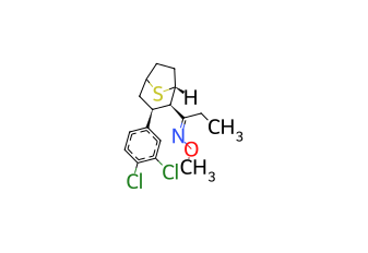 CCC(=NOC)[C@H]1[C@@H](c2ccc(Cl)c(Cl)c2)CC2CC[C@H]1S2